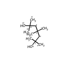 CC(C)(O)CC(C)(C)CC(C)(C)O